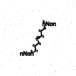 CCCCCCCCCCCC[P]CCCCCCCCCCCC